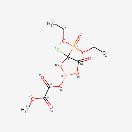 CCOP(=O)(OCC)C1(F)OB(OC(=O)C(=O)OC)OC1=O